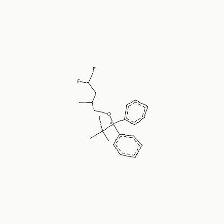 CC(CO[Si](c1ccccc1)(c1ccccc1)C(C)(C)C)CC(F)F